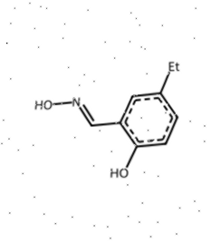 CCc1ccc(O)c(/C=N/O)c1